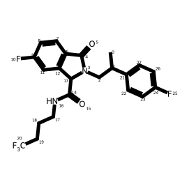 CC(CN1C(=O)c2ccc(F)cc2C1C(=O)NCCCC(F)(F)F)c1ccc(F)cc1